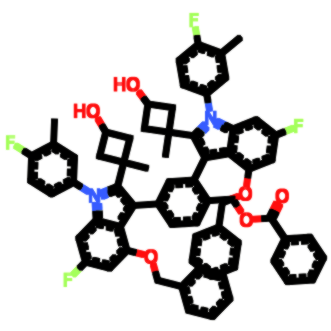 Cc1cc(-n2c(C3(C)CC(O)C3)c(-c3ccc(COC(=O)c4ccccc4)c(-c4c(C5(C)CC(O)C5)n(-c5ccc(F)c(C)c5)c5cc(F)cc(OCc6ccccc6)c45)c3)c3c(OCc4ccccc4)cc(F)cc32)ccc1F